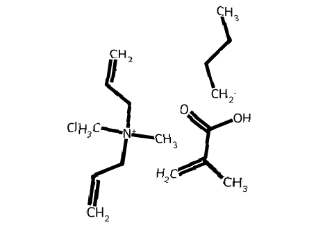 C=C(C)C(=O)O.C=CC[N+](C)(C)CC=C.[CH2]CCC.[Cl-]